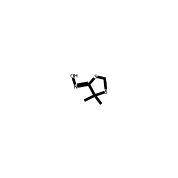 CC1(C)SCSC1=NO